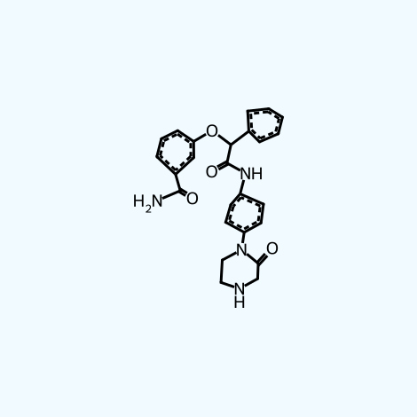 NC(=O)c1cccc(OC(C(=O)Nc2ccc(N3CCNCC3=O)cc2)c2ccccc2)c1